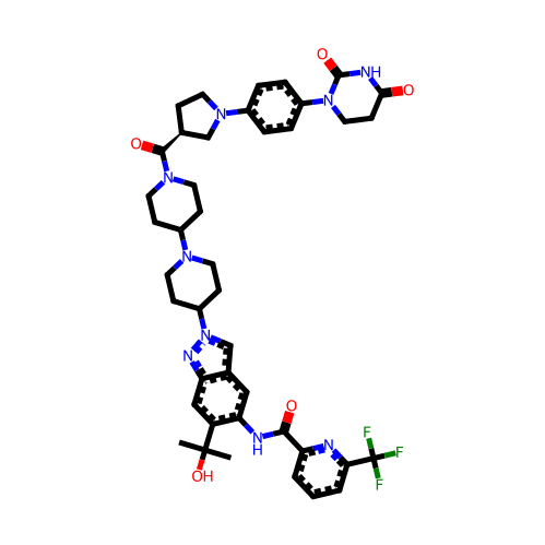 CC(C)(O)c1cc2nn(C3CCN(C4CCN(C(=O)[C@H]5CCN(c6ccc(N7CCC(=O)NC7=O)cc6)C5)CC4)CC3)cc2cc1NC(=O)c1cccc(C(F)(F)F)n1